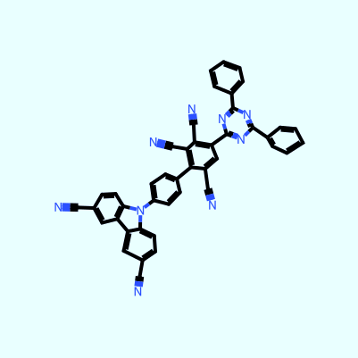 N#Cc1ccc2c(c1)c1cc(C#N)ccc1n2-c1ccc(-c2c(C#N)cc(-c3nc(-c4ccccc4)nc(-c4ccccc4)n3)c(C#N)c2C#N)cc1